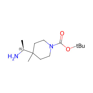 C[C@H](N)C1(C)CCN(C(=O)OC(C)(C)C)CC1